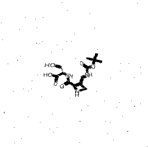 CC(C)(C)OC(=O)NCC1CNC1C(=O)N[C@@H](CO)C(=O)O